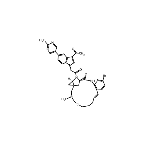 CC(=O)c1nn(CC(=O)N2[C@H]3C[C@]4(C[C@@H]24)CN(C)CCCCC/C=C/c2ccc(Br)nc2NC3=O)c2ccc(-c3cnc(C)nc3)cc12